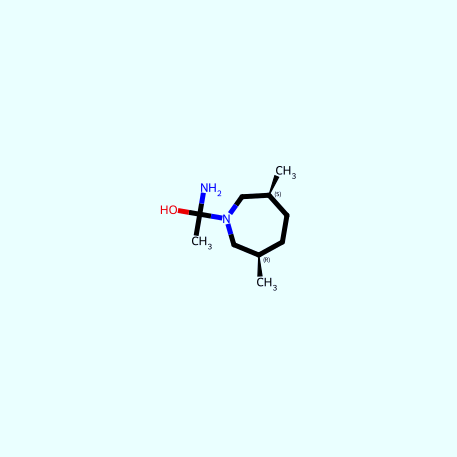 C[C@@H]1CC[C@H](C)CN(C(C)(N)O)C1